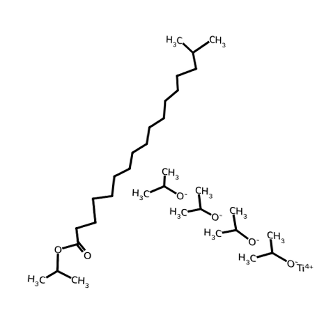 CC(C)CCCCCCCCCCCCCCC(=O)OC(C)C.CC(C)[O-].CC(C)[O-].CC(C)[O-].CC(C)[O-].[Ti+4]